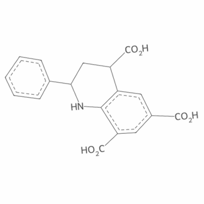 O=C(O)c1cc(C(=O)O)c2c(c1)C(C(=O)O)CC(c1ccccc1)N2